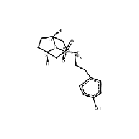 CS(=O)(=O)N1[C@@H]2CC[C@H]1C[C@@H](NCCc1ccc(O)cc1)C2